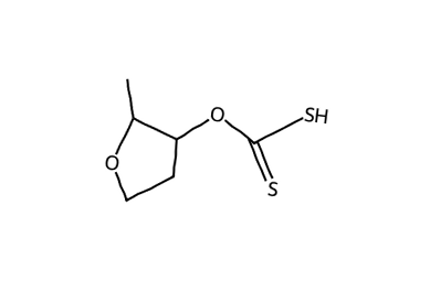 CC1OCCC1OC(=S)S